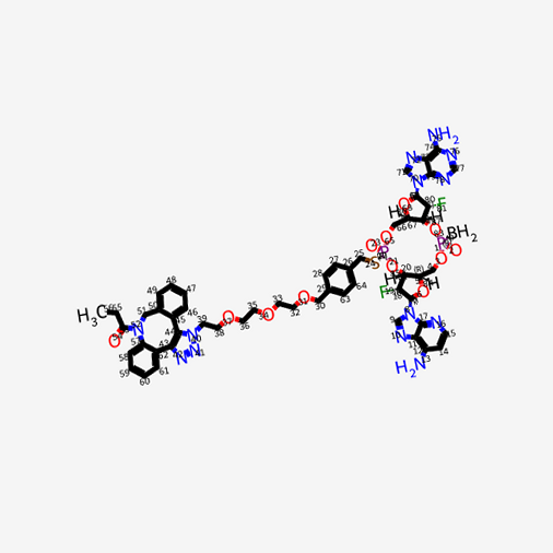 B[P@@]1(=O)OC[C@H]2O[C@@H](n3cnc4c(N)ccnc43)[C@H](F)[C@@H]2O[P@](=O)(SCc2ccc(COCCOCCOCCn3nnc4c3-c3ccccc3CN(C(=O)CC)c3ccccc3-4)cc2)OC[C@H]2O[C@@H](n3cnc4c(N)ncnc43)[C@H](F)[C@@H]2O1